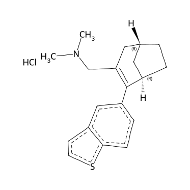 CN(C)CC1=C(c2ccc3sccc3c2)[C@@H]2CC[C@@H](C1)C2.Cl